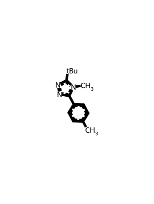 Cc1ccc(-c2nnc(C(C)(C)C)n2C)cc1